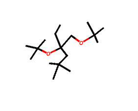 CCC(COC(C)(C)C)(CC(C)(C)C)OC(C)(C)C